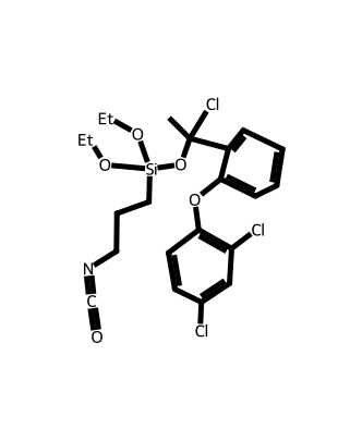 CCO[Si](CCCN=C=O)(OCC)OC(C)(Cl)c1ccccc1Oc1ccc(Cl)cc1Cl